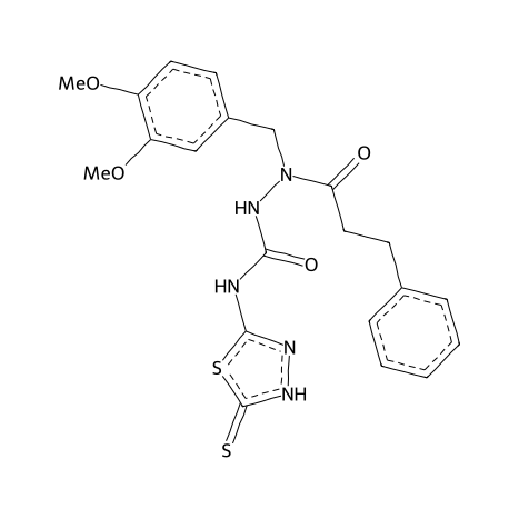 COc1ccc(CN(NC(=O)Nc2n[nH]c(=S)s2)C(=O)CCc2ccccc2)cc1OC